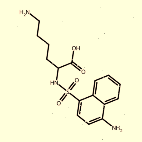 NCCCCC(NS(=O)(=O)c1ccc(N)c2ccccc12)C(=O)O